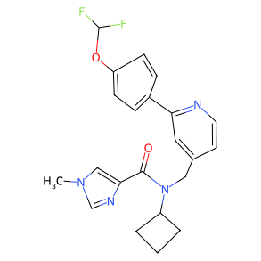 Cn1cnc(C(=O)N(Cc2ccnc(-c3ccc(OC(F)F)cc3)c2)C2CCC2)c1